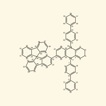 C1=C2C(=CCC1)N(c1ccc(-c3ccccc3)cc1)c1cc(-c3ccc4c(c3)C3(c5ccccc5-c5ccccc53)c3ccccc3-4)ccc1N2c1ccc(-c2ccccc2)cc1